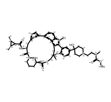 CCn1c(-c2cc(C3(O)CCN(CCN(C)C(=O)OC(C)(C)C)CC3)cnc2C(C)C)c2c3cc(ccc31)-c1csc(n1)C[C@H](NC(=O)C1[C@@H](C)[C@H]1C)C(=O)N1CCC[C@H](N1)C(=O)OCC(C)(C)C2